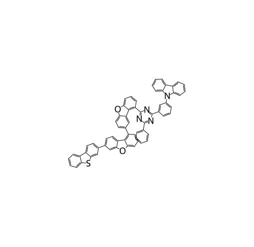 c1ccc(-c2nc(-c3cccc(-n4c5ccccc5c5ccccc54)c3)nc(-c3cccc4oc5ccc(-c6cccc7oc8cc(-c9ccc%10c(c9)sc9ccccc9%10)ccc8c67)cc5c34)n2)cc1